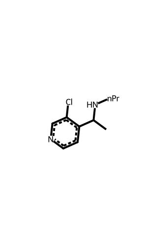 CCCNC(C)c1ccncc1Cl